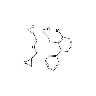 C(OCC1CO1)C1CO1.Oc1cccc(-c2ccccc2)c1CC1CO1